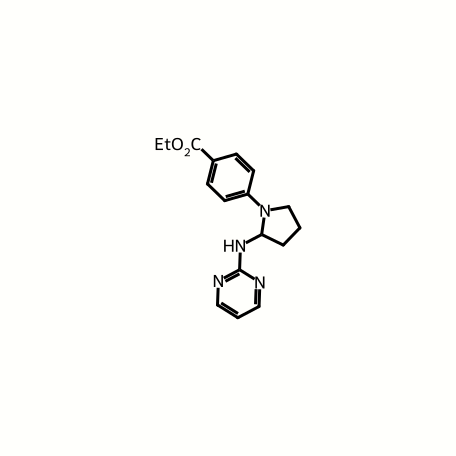 CCOC(=O)c1ccc(N2CCCC2Nc2ncccn2)cc1